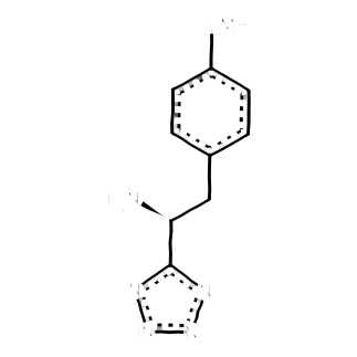 COc1ccc(C[C@H](N)c2nn[nH]n2)cc1